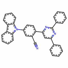 N#Cc1cc(-n2c3ccccc3c3ccccc32)ccc1-c1cc(-c2ccccc2)nc(-c2ccccc2)n1